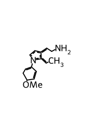 C/C=c1\c(=C/CN)ccn1C1=CCC(OC)C=C1